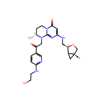 O=C(CN1c2nc(NC[C@H]3OC[C@@H]4CC43)cc(=O)n2CC[C@H]1C(F)(F)F)c1ccc(NCCO)nc1